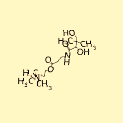 CC(C)(CO)C(O)C(=O)NCCC(=O)OCC[N+](C)(C)C